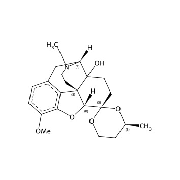 COc1ccc2c3c1O[C@H]1[C@@]4(CCC5(O)[C@@H](C2)N(C)CC[C@]315)OCC[C@H](C)O4